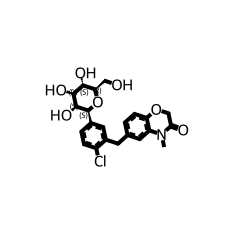 CN1C(=O)COc2ccc(Cc3cc([C@@H]4O[C@H](CO)[C@@H](O)[C@H](O)[C@@H]4O)ccc3Cl)cc21